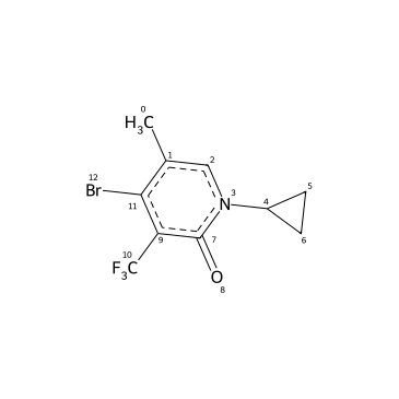 Cc1cn(C2CC2)c(=O)c(C(F)(F)F)c1Br